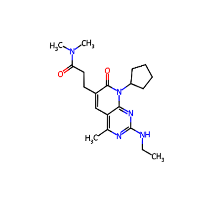 CCNc1nc(C)c2cc(CCC(=O)N(C)C)c(=O)n(C3CCCC3)c2n1